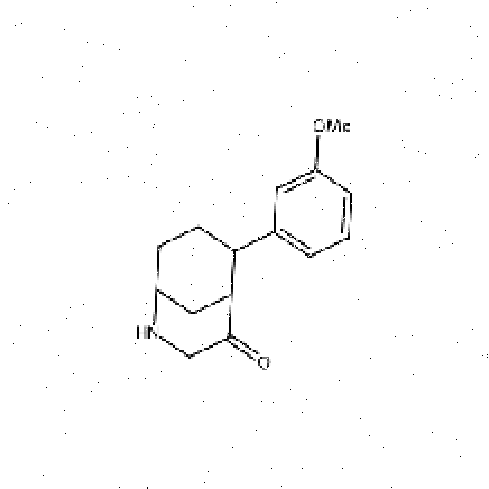 COc1cccc(C2CCC3CC2C(=O)CN3)c1